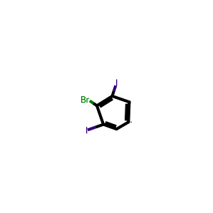 Brc1c(I)c[c]cc1I